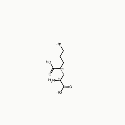 N[C@@H](C[C@@H](CCC[18F])C(=O)O)C(=O)O